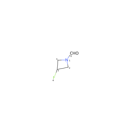 O=CN1CC(F)C1